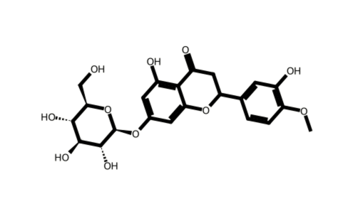 COc1ccc(C2CC(=O)c3c(O)cc(O[C@@H]4O[C@H](CO)[C@@H](O)[C@H](O)[C@H]4O)cc3O2)cc1O